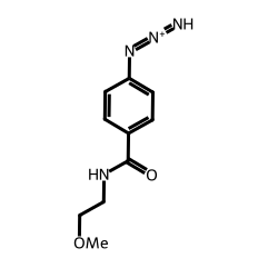 COCCNC(=O)c1ccc(N=[N+]=N)cc1